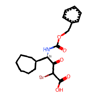 O=C(N[C@H](C(=O)C(Br)C(=O)O)C1CCCCCC1)OCc1ccccc1